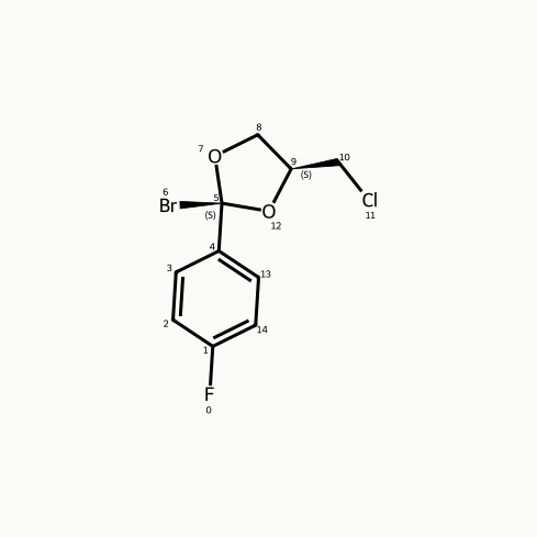 Fc1ccc([C@]2(Br)OC[C@@H](CCl)O2)cc1